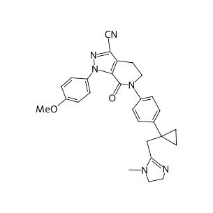 COc1ccc(-n2nc(C#N)c3c2C(=O)N(c2ccc(C4(CC5=NCCN5C)CC4)cc2)CC3)cc1